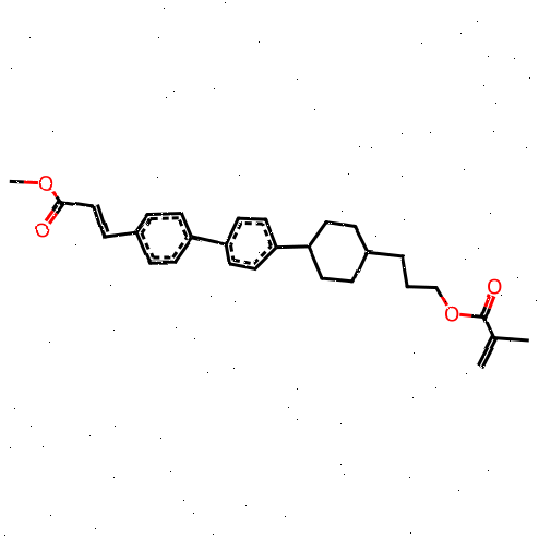 C=C(C)C(=O)OCCCC1CCC(c2ccc(-c3ccc(/C=C/C(=O)OC)cc3)cc2)CC1